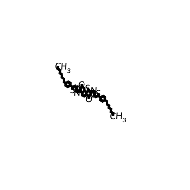 CCCCCCCCc1ccc(-c2cc3c(nc4c5ccc6c(=O)n7c8cc(-c9ccc(CCCCCCCC)cc9)sc8nc7c7sc(c(=O)n34)c5c67)s2)cc1